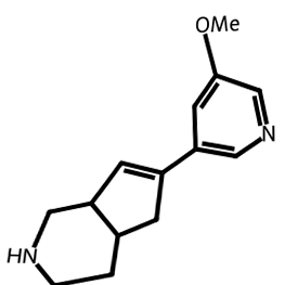 COc1cncc(C2=CC3CNCCC3C2)c1